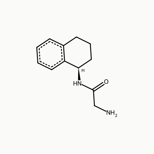 NCC(=O)N[C@@H]1CCCc2ccccc21